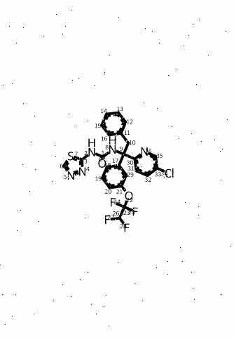 O=C(Nc1nncs1)NC(Cc1ccccc1)(c1cccc(OC(F)(F)C(F)F)c1)c1ccc(Cl)cn1